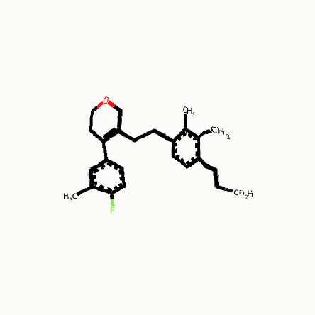 Cc1cc(C2=C(CCc3ccc(CCC(=O)O)c(C)c3C)COCC2)ccc1F